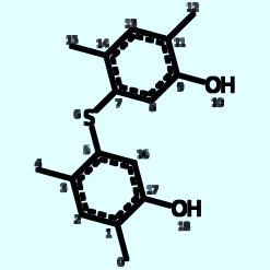 Cc1cc(C)c(Sc2cc(O)c(C)cc2C)cc1O